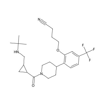 CC(C)(C)NCC1CC1C(=O)N1CCC(c2ccc(C(F)(F)F)cc2OCCCC#N)CC1